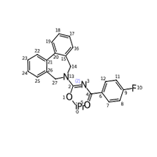 CC(C)O/C(=N\C(=O)c1ccc(F)cc1)N1Cc2ccccc2-c2ccccc2C1